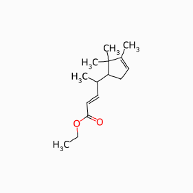 CCOC(=O)C=CC(C)C1CC=C(C)C1(C)C